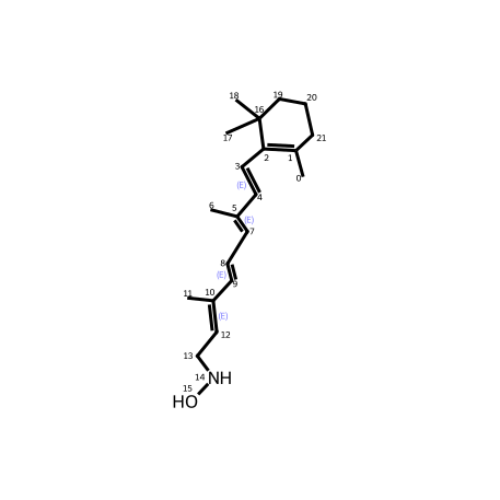 CC1=C(/C=C/C(C)=C/C=C/C(C)=C/CNO)C(C)(C)CCC1